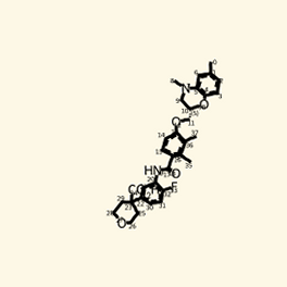 Cc1ccc2c(c1)N(C)C[C@@H](COc1ccc(C(=O)Nc3cc(C4(C(=O)O)CCOCC4)ccc3F)c(C)c1C)O2